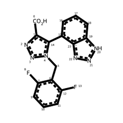 O=C(O)c1nnn(Cc2c(F)cccc2F)c1-c1cccc2[nH]nnc12